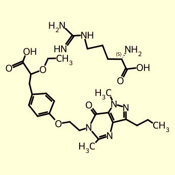 CCCc1nn(C)c2c(=O)n(CCOc3ccc(CC(OCC)C(=O)O)cc3)c(C)nc12.N=C(N)NCCC[C@H](N)C(=O)O